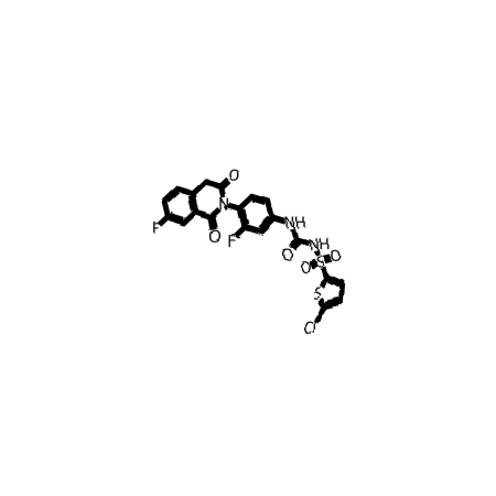 O=C(Nc1ccc(N2C(=O)Cc3ccc(F)cc3C2=O)c(F)c1)NS(=O)(=O)c1ccc(Cl)s1